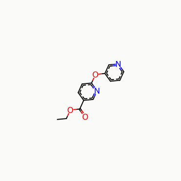 CCOC(=O)c1ccc(Oc2cccnc2)nc1